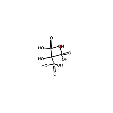 O=P(O)(O)C(O)(P(=O)(O)O)P(=O)(O)O